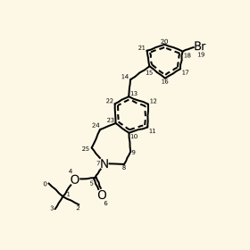 CC(C)(C)OC(=O)N1CCc2ccc(Cc3ccc(Br)cc3)cc2CC1